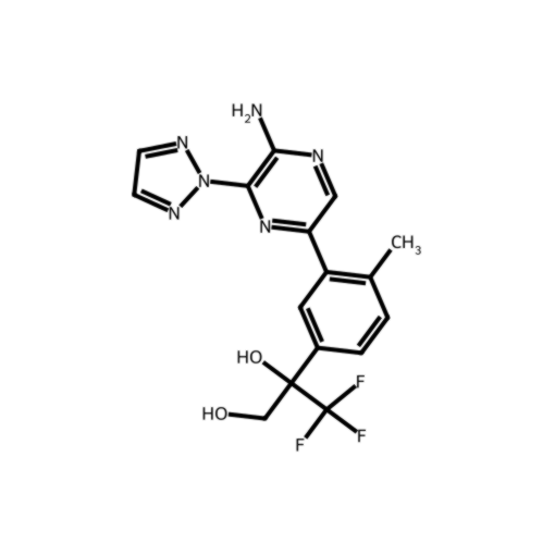 Cc1ccc(C(O)(CO)C(F)(F)F)cc1-c1cnc(N)c(-n2nccn2)n1